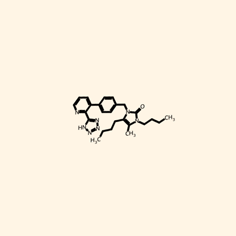 CCCCc1c(C)n(CCCC)c(=O)n1Cc1ccc(-c2cccnc2-c2nnn[nH]2)cc1